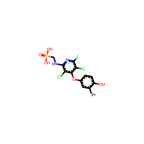 CC(C)c1cc(Oc2c(Cl)c(F)nc(NCP(=O)(O)O)c2Cl)ccc1O